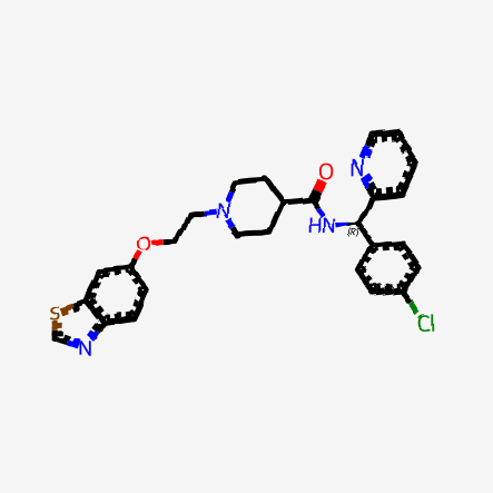 O=C(N[C@H](c1ccc(Cl)cc1)c1ccccn1)C1CCN(CCOc2ccc3ncsc3c2)CC1